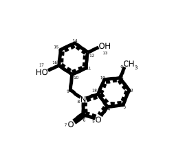 Cc1ccc2oc(=O)n(Cc3cc(O)ccc3O)c2c1